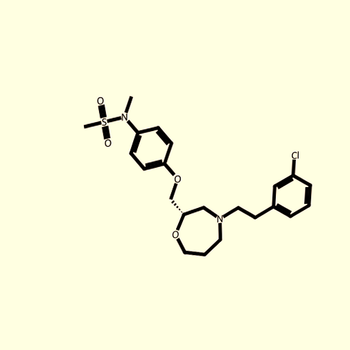 CN(c1ccc(OC[C@@H]2CN(CCc3cccc(Cl)c3)CCCO2)cc1)S(C)(=O)=O